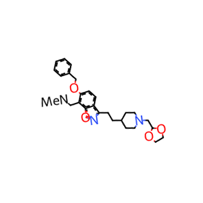 CNCc1c(OCc2ccccc2)ccc2c(CCC3CCN(CC4OCCO4)CC3)noc12